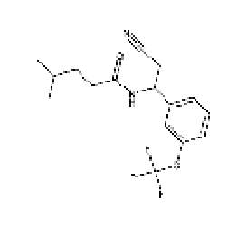 CC(C)CCC(=O)NC(CC#N)c1cccc(OC(F)(F)F)c1